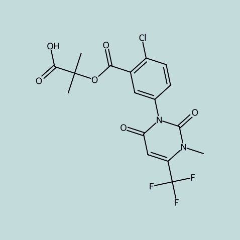 Cn1c(C(F)(F)F)cc(=O)n(-c2ccc(Cl)c(C(=O)OC(C)(C)C(=O)O)c2)c1=O